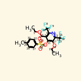 CCOC(=O)c1c(C(F)(F)F)nc(C(F)(F)F)c(OCC)c1OS(=O)(=O)c1ccc(C)cc1